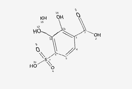 O=C(O)c1ccc(S(=O)(=O)O)c(O)c1O.[KH]